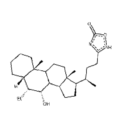 CC[C@H]1[C@@H](O)C2C3CC[C@H]([C@H](C)CCc4nc(=O)o[nH]4)[C@@]3(C)CCC2[C@@]2(C)CCCC[C@@H]12